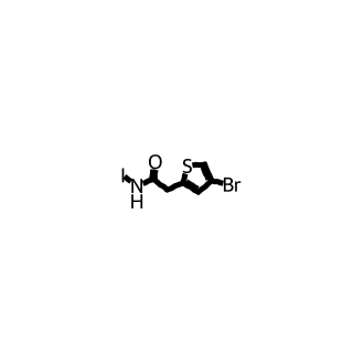 O=C(Cc1cc(Br)cs1)NI